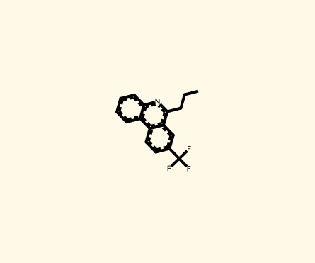 CCCc1nc2ccccc2c2ccc(C(F)(F)F)cc12